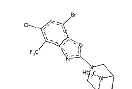 O=C(O)N1C2CC1CN(c1nc3c(C(F)(F)F)c(Cl)cc(Br)c3o1)C2